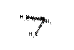 CCCCCCCCCCCCCCCCCC(C)[n+]1cc[nH]c1CCCCCCCCCCCCCCCCC(C)C